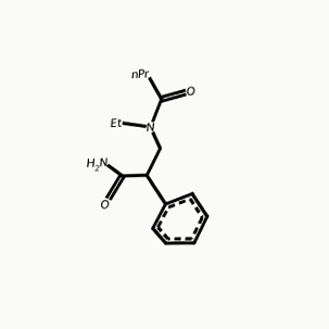 CCCC(=O)N(CC)CC(C(N)=O)c1ccccc1